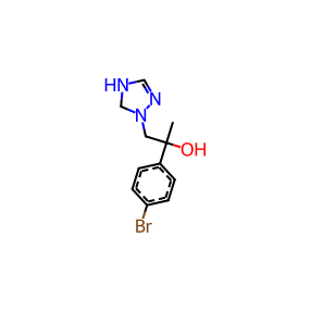 CC(O)(CN1CNC=N1)c1ccc(Br)cc1